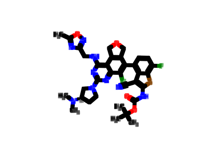 Cc1nc(CNc2nc(N3CC[C@H](N(C)C)C3)nc3c(Cl)c(-c4ccc(F)c5sc(NC(=O)OC(C)(C)C)c(C#N)c45)c4c(c23)COC4)no1